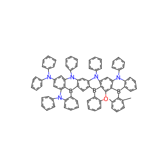 Cc1cccc(C)c1B1c2ccccc2N(c2ccccc2)c2cc3c4c(c21)Oc1ccccc1B4c1cc2c(cc1N3c1ccccc1)N(c1ccccc1)c1cc(N(c3ccccc3)c3ccccc3)cc3c1B2c1ccccc1N3c1ccccc1